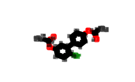 CC(C)(C)C(=O)Oc1ccc(-c2cc(OC(=O)C(C)(C)C)ccc2Br)cc1